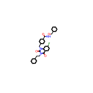 O=C(NOCc1ccccc1)c1ccc(Cn2c(=O)n(CCc3ccccc3)c(=O)c3ccc(F)cc32)cc1